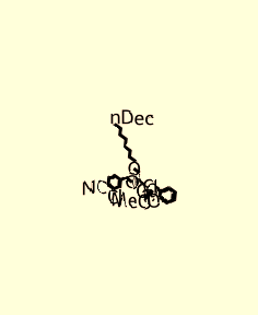 CCCCCCCCCCCCCCCCCCOC[C@H](COP(=O)(OC)Oc1ccccc1Cl)OCc1ccc(C#N)c(Cl)c1